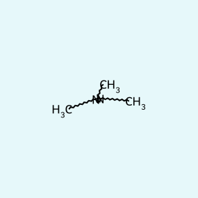 CCCCCCCCCCCCN1C=CN(CCCCCCCCCCCC)C1CCCCCC